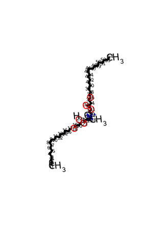 CCCCCCCC/C=C\CCCCCCCCOCCC(=O)OCC[N+](C)(C)CCOC(=O)CCOCCCCCCCC/C=C\CCCCCCCC